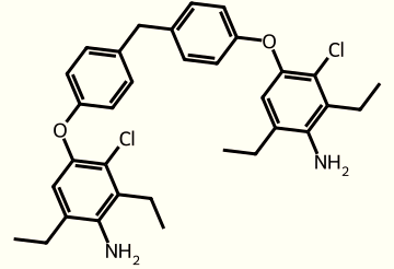 CCc1cc(Oc2ccc(Cc3ccc(Oc4cc(CC)c(N)c(CC)c4Cl)cc3)cc2)c(Cl)c(CC)c1N